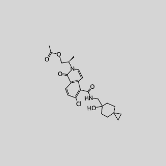 CC(=O)OC[C@@H](C)n1ccc2c(C(=O)NCC3(O)CCC4(CC3)CC4)c(Cl)ccc2c1=O